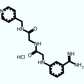 Cl.N=C(N)c1cccc(NCC(=O)NCC(=O)NCc2ccncc2)c1